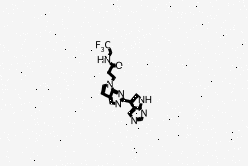 O=C(CCn1ccc2cnc(-c3c[nH]c4ncncc34)nc21)NCC(F)(F)F